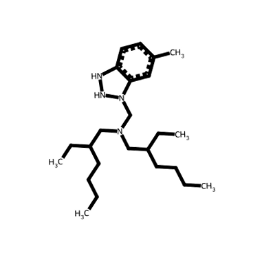 CCCCC(CC)CN(CC(CC)CCCC)CN1NNc2ccc(C)cc21